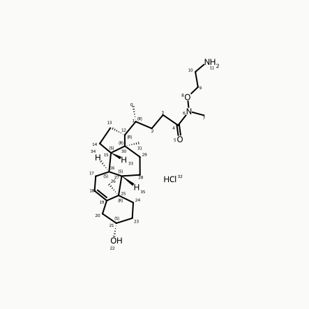 C[C@H](CCC(=O)N(C)OCCN)[C@H]1CC[C@H]2[C@@H]3CC=C4C[C@@H](O)CC[C@]4(C)[C@H]3CC[C@]12C.Cl